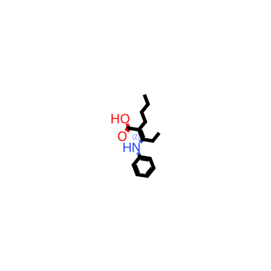 CCCC/C(C(=O)O)=C(\CC)Nc1ccccc1